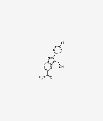 NC(=O)c1ccc2nc(-c3ccc(Cl)cc3)c(CO)n2c1